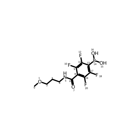 COCCCNC(=O)c1c(F)c(F)c(B(O)O)c(F)c1F